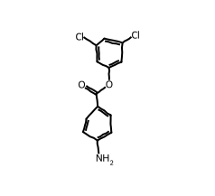 Nc1ccc(C(=O)Oc2cc(Cl)cc(Cl)c2)cc1